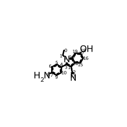 CCn1c(-c2ccc(N)cc2)c(C#N)c2ccc(O)cc21